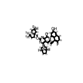 [2H]C1([2H])CC[C@@]2(COc3nc(N4C[C@H]5CC[C@@H](C4)N5)c4ccn(-c5cc(O)cc6ccc(F)c(C#C)c56)c(=O)c4n3)C[C@@]([2H])(F)CN12